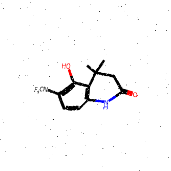 CC1(C)CC(=O)Nc2ccc(NC(F)(F)F)c(O)c21